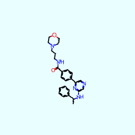 CC(Nc1cncc(-c2ccc(C(=O)NCCCN3CCOCC3)cc2)n1)c1ccccc1